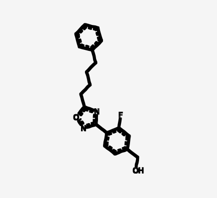 OCc1ccc(-c2noc(CCCCc3ccccc3)n2)c(F)c1